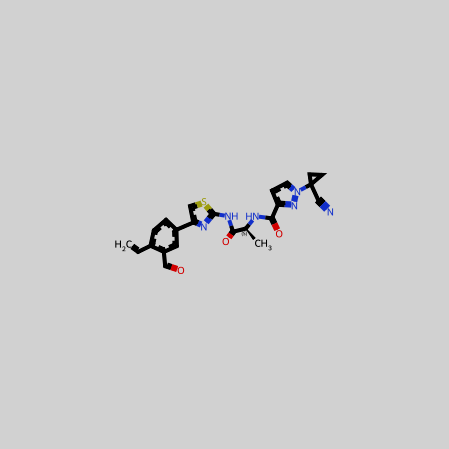 C=Cc1ccc(-c2csc(NC(=O)[C@H](C)NC(=O)c3ccn(C4(C#N)CC4)n3)n2)cc1C=O